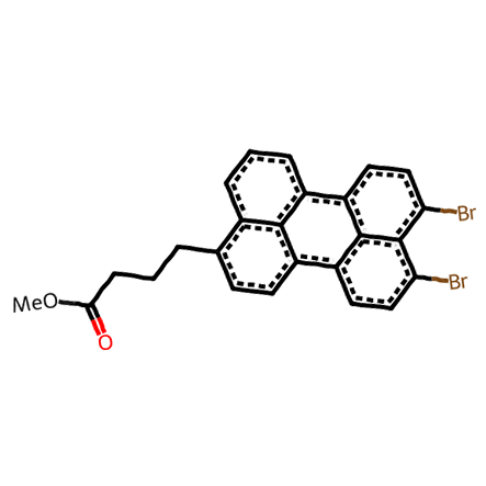 COC(=O)CCCc1ccc2c3ccc(Br)c4c(Br)ccc(c5cccc1c52)c43